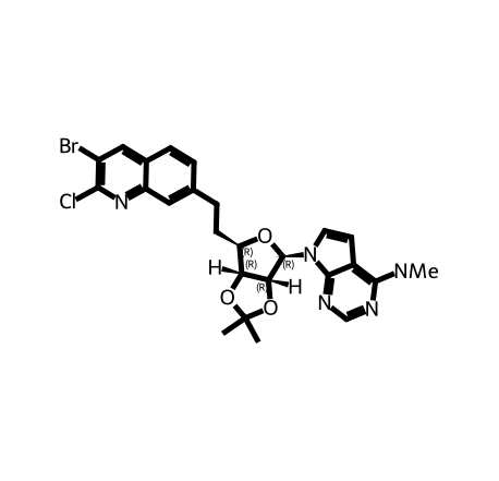 CNc1ncnc2c1ccn2[C@@H]1O[C@H](CCc2ccc3cc(Br)c(Cl)nc3c2)[C@H]2OC(C)(C)O[C@H]21